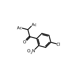 CC(=O)C(C(C)=O)C(=O)c1ccc(Cl)cc1[N+](=O)[O-]